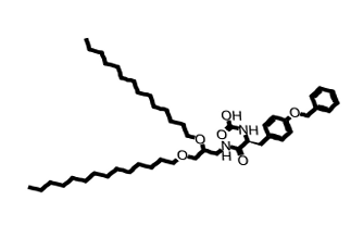 CCCCCCCCCCCCCCOCC(CNC(=O)[C@H](Cc1ccc(OCc2ccccc2)cc1)NC(=O)O)OCCCCCCCCCCCCCC